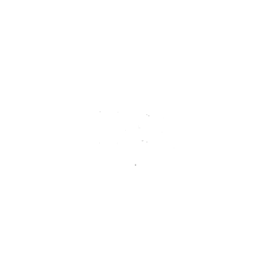 CN(C)C(c1ccccc1)C(C)(CO)CO